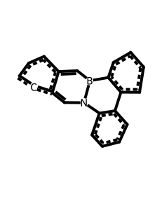 C1=c2ccccc2=CN2B1c1ccccc1-c1ccccc12